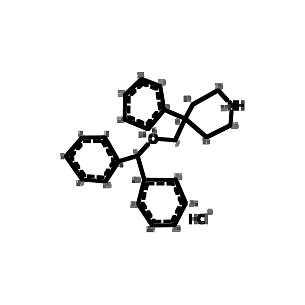 Cl.c1ccc(C(OCC2(c3ccccc3)CCNCC2)c2ccccc2)cc1